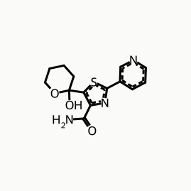 NC(=O)c1nc(-c2cccnc2)sc1C1(O)CCCCO1